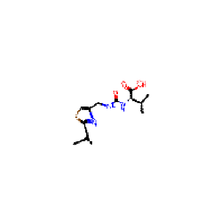 CC(C)c1nc(CNC(=O)N[C@H](C(=O)O)C(C)C)cs1